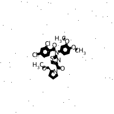 COC[C@@H]1CCCN1C(=O)c1csc(N(C(=O)c2ccc(Cl)cc2Cl)c2ccc(OC)c(OC)c2)n1